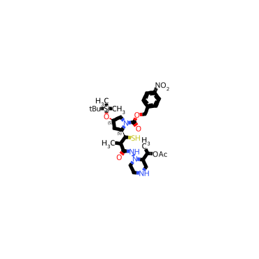 CC(=O)OC(C)C1CNCCN1NC(=O)C(C)C(S)[C@@H]1C[C@H](O[Si](C)(C)C(C)(C)C)CN1C(=O)OCc1ccc([N+](=O)[O-])cc1